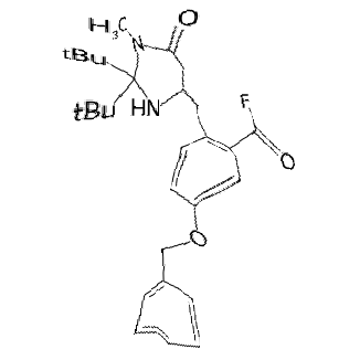 CN1C(=O)C(Cc2ccc(OCc3ccccc3)cc2C(=O)F)NC1(C(C)(C)C)C(C)(C)C